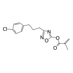 C=C(C)C(=O)Oc1nc(CCCc2ccc(Cl)cc2)no1